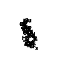 C[C@H]1Nc2nc(nc3cc(F)c(P4(=O)CCN(C(=O)OC(C)(C)C)CC4)cc23)CCCOc2c1cccc2C(F)(F)F